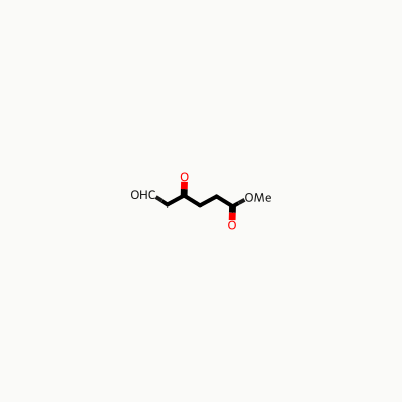 COC(=O)CCC(=O)[CH]C=O